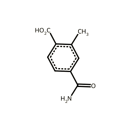 Cc1cc(C(N)=O)ccc1C(=O)O